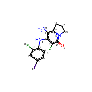 Nc1c(Nc2ccc(I)cc2F)c(F)c(=O)n2c1CCC2